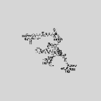 CC(=O)NC1C(OCCCCCC(=O)NCCCCCC(=O)N(CCO)CCOP(=O)(O)OCCN(CCOP(=O)(O)OCCN(CCOC2CCCCCC2)C(=O)CCCCCNC(=O)CCCCCOC2OC(CO)C(O)C(O)C2NC(C)=O)C(=O)CCCCCNC(=O)CCCCCOC2OC(CO)C(O)C(O)C2NC(C)=O)OC(CO)C(O)C1O